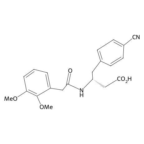 COc1cccc(CC(=O)N[C@@H](CC(=O)O)Cc2ccc(C#N)cc2)c1OC